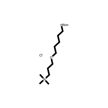 CCCCCCCCCCCCCCOCCC[N+](C)(C)C.[Cl-]